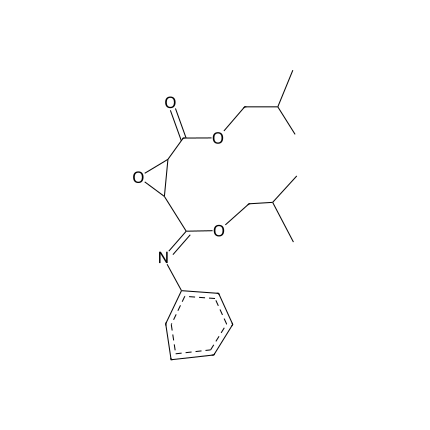 CC(C)COC(=O)C1OC1C(=Nc1ccccc1)OCC(C)C